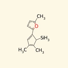 CC1=C(C)C([SiH3])C(c2ccc(C)o2)=C1